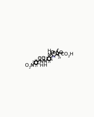 Cc1[nH]c(/C=C2\C(=O)Nc3cc(NC(=O)NC(=O)c4ccc([N+](=O)[O-])cc4)ccc32)c(C)c1OC(=O)O